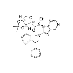 CCN(C(=O)[C@H]1OC[C@@H]2OC(C)(C)O[C@@H]21)n1c(NCC(c2ccccc2)c2ccccc2)nc2cncnc21